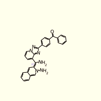 N/C(=C1/C=c2ccccc2=CN1N)c1cccn2nc(-c3ccc(C(=O)c4ccccc4)cc3)nc12